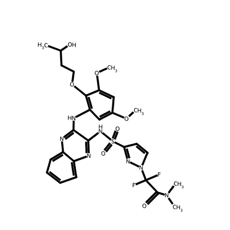 COc1cc(Nc2nc3ccccc3nc2NS(=O)(=O)c2ccn(C(F)(F)C(=O)N(C)C)n2)c(OCCC(C)O)c(OC)c1